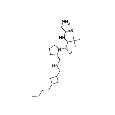 CCCCC1CC(CNC[C@H]2CCCN2C(=O)[C@@H](NC(=S)CN)C(C)(C)C)C1